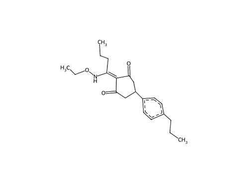 CCCC(NOCC)=C1C(=O)CC(c2ccc(CCC)cc2)CC1=O